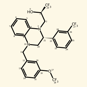 O[C@H](CN1c2ccccc2N(Cc2cccc(OC(F)(F)F)c2)C[C@H]1c1cccc(C(F)(F)F)c1)C(F)(F)F